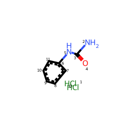 Cl.Cl.NC(=O)Nc1ccccc1